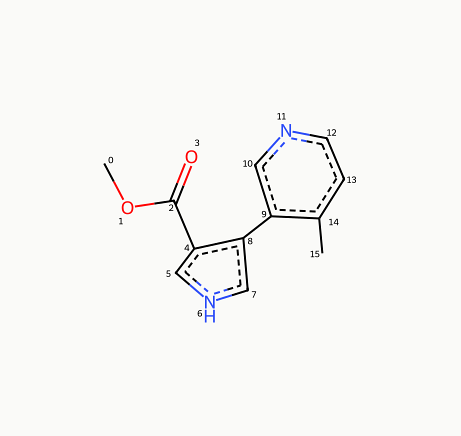 COC(=O)c1c[nH]cc1-c1cnccc1C